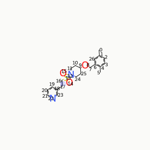 Cc1ccc(C)c(COC2CCN(S(=O)(=O)/C=C/c3cccnc3)CC2)c1